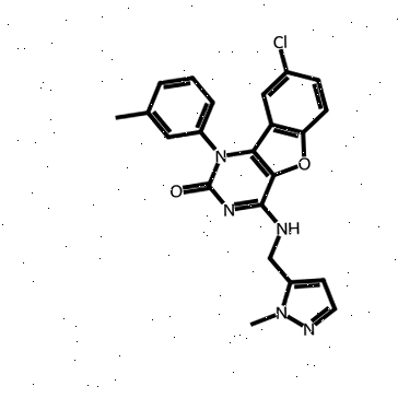 Cc1cccc(-n2c(=O)nc(NCc3ccnn3C)c3oc4ccc(Cl)cc4c32)c1